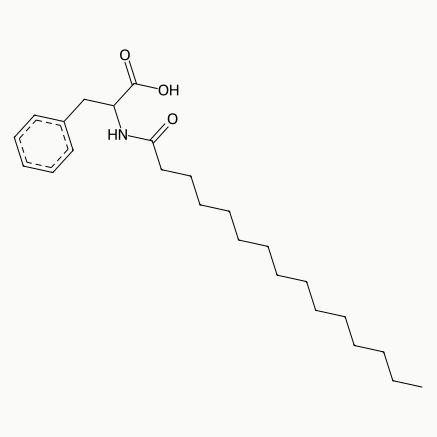 CCCCCCCCCCCCCCC(=O)NC(Cc1ccccc1)C(=O)O